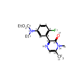 CCOC(=O)N(CC)c1ccc(F)c(-c2ncc(C(F)(F)F)n(C)c2=O)c1